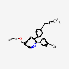 C=CCCc1ccc(-c2cc(COCCC)cnc2-c2ccc(CC)cc2)cc1